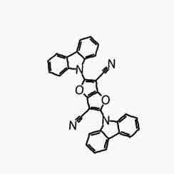 N#Cc1c(-n2c3ccccc3c3ccccc32)oc2c(C#N)c(-n3c4ccccc4c4ccccc43)oc12